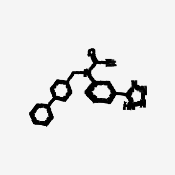 CCC(=O)N(Cc1ccc(-c2ccccc2)cc1)c1cccc(-c2nnn[nH]2)c1